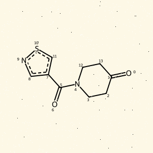 O=C1CCN(C(=O)c2cnsc2)CC1